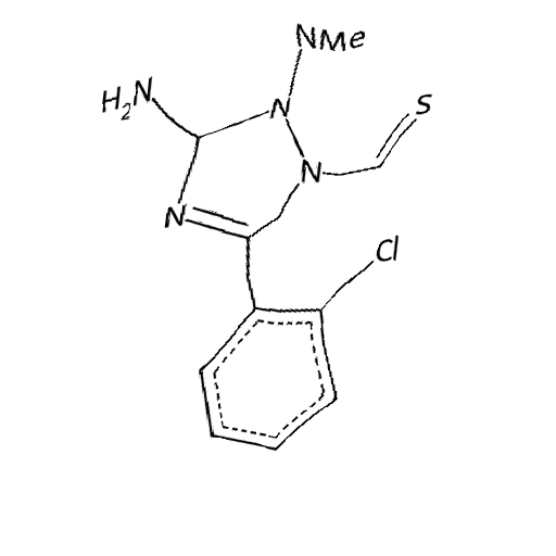 CNN1C(N)N=C(c2ccccc2Cl)N1C=S